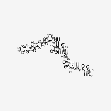 CN[C@@H](C)C(=O)CC(=O)CNCN[C@@H](C)C(=O)CC(=O)CNCN[C@@H](C)C(=O)CNC(Cc1c[nH]c2ccc3oc(-c4ccc(C(=O)N[C@H](C=O)Cc5ccccc5)cc4)nc3c12)C(=O)O